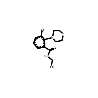 CCNC(=O)c1cccc(O)c1N1CCSCC1